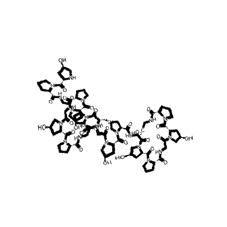 O=C(O)CNC(=O)[C@@H]1CCCN1C(=O)[C@@H]1C[C@@H](O)CN1C(=O)CNC(=O)[C@@H]1CCCN1C(=O)[C@@H]1C[C@@H](O)CN1C(=O)CNC(=O)[C@@H]1CCCN1C(=O)[C@@H]1C[C@@H](O)CN1C(=O)CNC(=O)[C@@H]1CCCN1C(=O)[C@H](CS)NC(=O)CNC(=O)[C@@H]1CCCN1C(=O)[C@@H]1C[C@@H](O)CN1C(=O)CNC(=O)[C@@H]1CCCN1C(=O)[C@@H]1C[C@@H](O)CN1C(=O)CNC(=O)[C@@H]1CCCN1C(=O)[C@@H]1C[C@@H](O)CN1